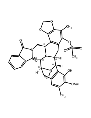 COc1c(C)cc2c(c1O)[C@H]1[C@@H]3Cc4c(OS(C)(=O)=O)c(C)c5c(c4[C@H](CN4C(=O)c6ccccc6C4=O)N3[C@@H](C#N)[C@H](C2)N1C)OCO5